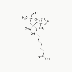 CC(C)(C=O)CC(CCCCCCCC(=O)O)(CC(C)(C)C=O)C(=O)O